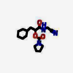 N#CCNC(=O)C(CC1CCCCC1)OC(=O)N1CCCC1